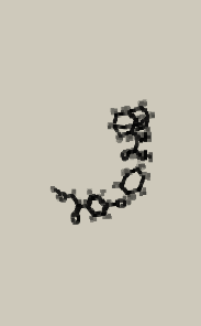 COCC(=O)c1ccc(O[C@H]2CC[C@@H](NC(=O)NC34CC5CC(CC(C5)C3)C4)CC2)cc1